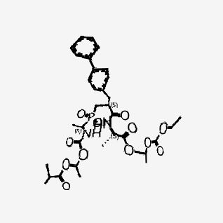 CCOC(=O)OC(C)OC(=O)[C@H](C)NC(=O)[C@H](Cc1ccc(-c2ccccc2)cc1)CP(=O)(O)[C@H](C)NC(=O)OC(C)OC(=O)C(C)C